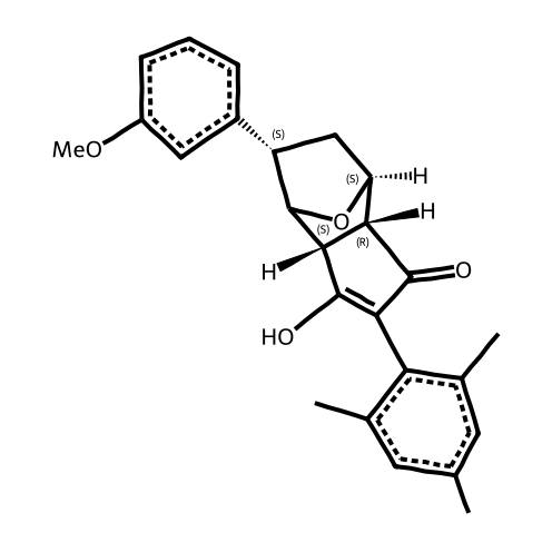 COc1cccc([C@@H]2C[C@@H]3OC2[C@H]2C(O)=C(c4c(C)cc(C)cc4C)C(=O)[C@@H]32)c1